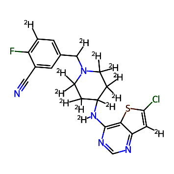 [2H]c1cc(C([2H])N2C([2H])([2H])C([2H])([2H])C([2H])(N([2H])c3ncnc4c([2H])c(Cl)sc34)C([2H])([2H])C2([2H])[2H])cc(C#N)c1F